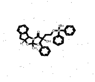 CC1(C)O[C@@H]2Cc3ccccc3C2N1C(=O)[C@](O)(CCO[Si](c1ccccc1)(c1ccccc1)C(C)(C)C)Cc1ccccc1